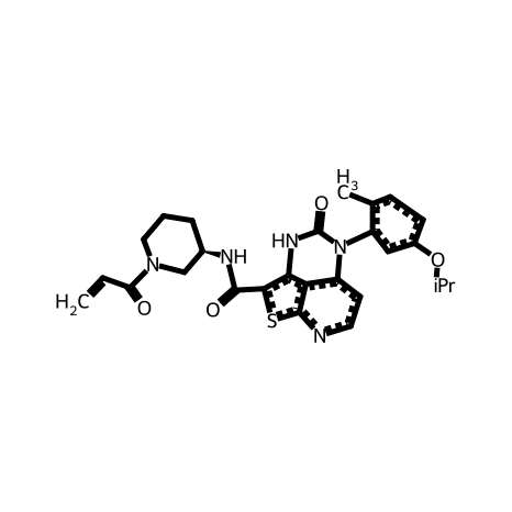 C=CC(=O)N1CCC[C@@H](NC(=O)c2sc3nccc4c3c2NC(=O)N4c2cc(OC(C)C)ccc2C)C1